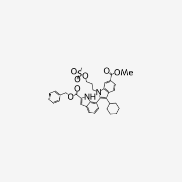 COC(=O)c1ccc2c(C3CCCCC3)c(-c3cccc4cc(C(=O)OCc5ccccc5)[nH]c34)n(CCCOS(C)(=O)=O)c2c1